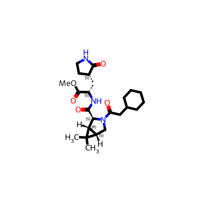 COC(=O)[C@H](C[C@@H]1CCNC1=O)NC(=O)[C@@H]1[C@@H]2[C@H](CN1C(=O)CC1CCCCC1)C2(C)C